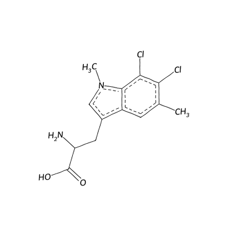 Cc1cc2c(CC(N)C(=O)O)cn(C)c2c(Cl)c1Cl